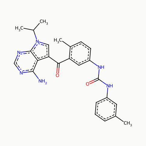 Cc1cccc(NC(=O)Nc2ccc(C)c(C(=O)c3cn(C(C)C)c4ncnc(N)c34)c2)c1